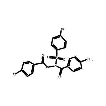 Cc1ccc(C(=O)N(NC(=O)c2ccc(Cl)cc2)S(=O)(=O)c2ccc(C(C)(C)C)cc2)cc1